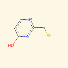 Oc1ccnc(CS)n1